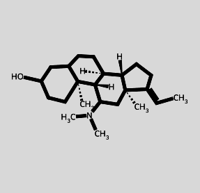 C/C=C1\CC[C@H]2[C@@H]3CCC4CC(O)CC[C@]4(C)[C@H]3C(N(C)C)C[C@]12C